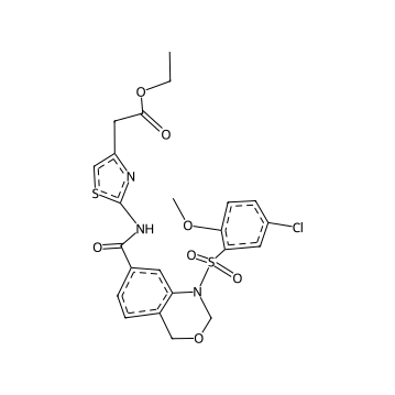 CCOC(=O)Cc1csc(NC(=O)c2ccc3c(c2)N(S(=O)(=O)c2cc(Cl)ccc2OC)COC3)n1